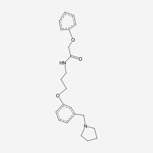 O=C(COc1ccccc1)NCCCOc1cccc(CN2CCCC2)c1